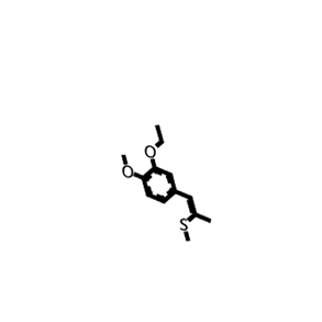 CCOc1cc(/C=C(/C)SC)ccc1OC